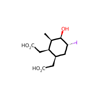 C[C@H]1[C@@H](O)[C@H](I)C[C@@H](CC(=O)O)[C@H]1CC(=O)O